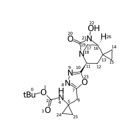 CC(C)(C)OC(=O)NC1(Cc2nnc([C@@H]3CC4(CC4)[C@H]4CN3C(=O)N4O)o2)CC1